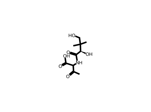 CC(=O)C(NC(=O)[C@H](O)C(C)(C)CO)C(=O)O